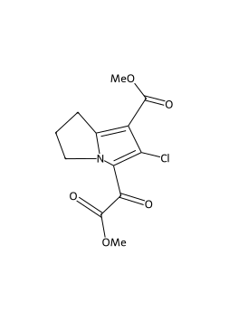 COC(=O)C(=O)c1c(Cl)c(C(=O)OC)c2n1CCC2